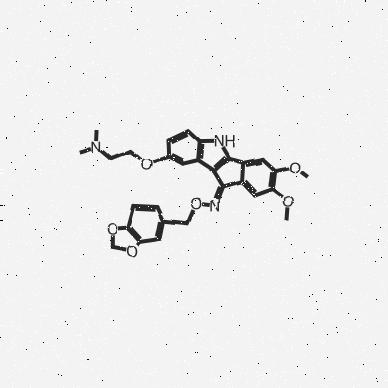 COc1cc2c(cc1OC)-c1[nH]c3ccc(OCCN(C)C)cc3c1C2=NOCc1ccc2c(c1)OCO2